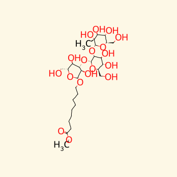 COC(=O)CCCCCCCCO[C@H]1O[C@H](CO)[C@@H](O)[C@H](O[C@H]2O[C@H](CO)[C@@H](O)[C@H](O)[C@H]2O[C@H]2O[C@H](CO)[C@@H](O)[C@H](O)[C@@]2(C)O)[C@H]1O